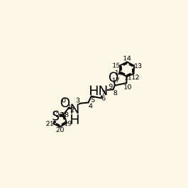 O=C(NCCCCNCC1Cc2ccccc2O1)c1cccs1